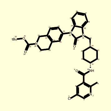 Cc1ncc(Cl)cc1C(=O)N[C@H]1CC[C@H](Cn2c(=O)n(-c3ccc4c(c3)CCN(C(=O)OC(C)(C)C)C4)c3ccccc32)CC1